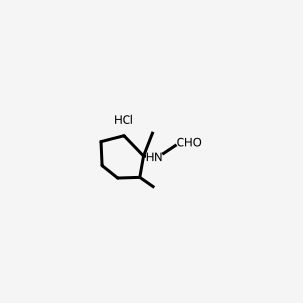 CC1CCCCC1(C)NC=O.Cl